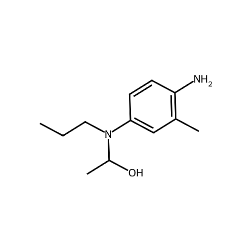 CCCN(c1ccc(N)c(C)c1)C(C)O